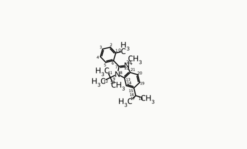 Cc1ccccc1-c1n(C(C)(C)C)c2cc(C(C)C)ccc2[n+]1C